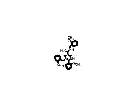 COc1ccccc1CNC(C)N(C(C)NCc1ccccc1OC)C(C)NCc1ccccc1OC